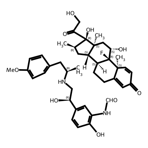 COc1ccc(C[C@@H](C)NC[C@H](O)c2ccc(O)c(NC=O)c2)cc1.C[C@@H]1C[C@H]2[C@@H]3CCC4=CC(=O)C=C[C@]4(C)[C@@]3(F)[C@@H](O)C[C@]2(C)[C@@]1(O)C(=O)CO